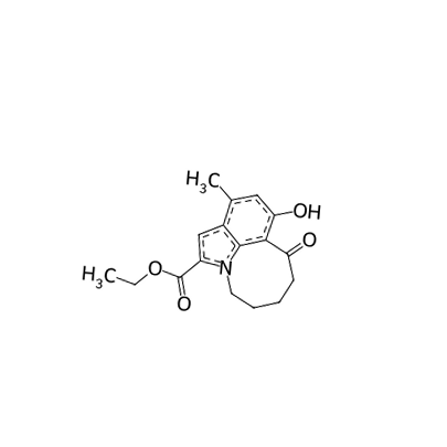 CCOC(=O)c1cc2c(C)cc(O)c3c2n1CCCCC3=O